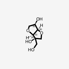 OC[C@@]1(O)CO[C@@H]2[C@H](O)CO[C@@H]21